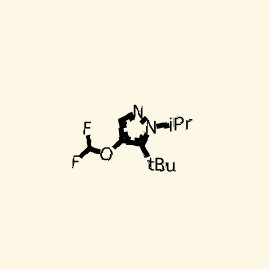 CC(C)n1ncc(OC(F)F)c1C(C)(C)C